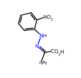 CCCC(=NNc1ccccc1[N+](=O)[O-])C(=O)O